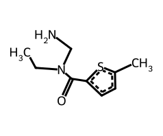 CCN(CN)C(=O)c1ccc(C)s1